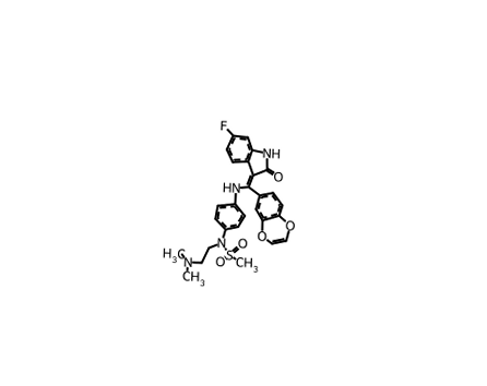 CN(C)CCN(c1ccc(NC(=C2C(=O)Nc3cc(F)ccc32)c2ccc3c(c2)OC=CO3)cc1)S(C)(=O)=O